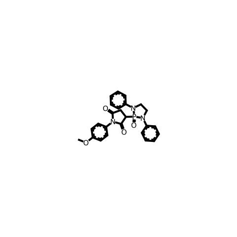 COc1ccc(N2C(=O)CC(P3(=O)N(c4ccccc4)CCN3c3ccccc3)C2=O)cc1